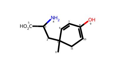 CC1(CC(N)C(=O)O)C=CC(O)=CC1